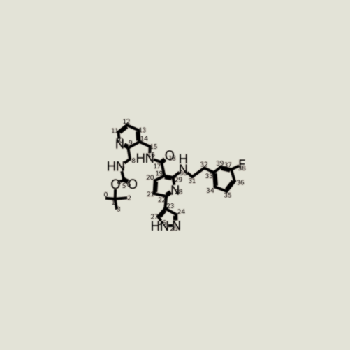 CC(C)(C)OC(=O)NCc1ncccc1CNC(=O)c1ccc(-c2cn[nH]c2)nc1NCCc1cccc(F)c1